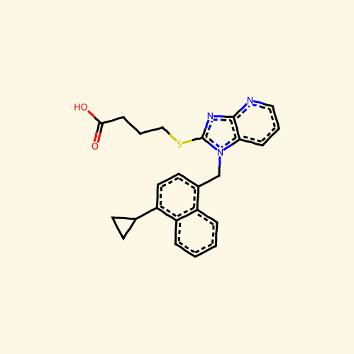 O=C(O)CCCSc1nc2ncccc2n1Cc1ccc(C2CC2)c2ccccc12